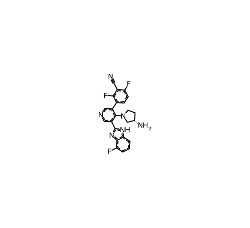 N#Cc1c(F)ccc(-c2cncc(-c3nc4c(F)cccc4[nH]3)c2N2CC[C@H](N)C2)c1F